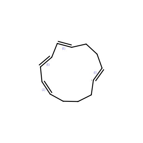 [C]1=C/CC/C=C/C=C/C=C\CCC/1